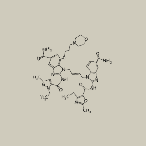 CCc1nc(C)oc1C(=O)Nc1nc2cc(C(N)=O)ccc2n1C/C=C/Cn1c(NC(=O)c2cc(C)nn2CC)nc2cc(C(N)=O)cc(OCCCN3CCOCC3)c21